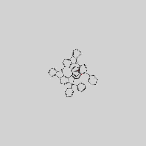 c1ccc(-c2ccc(-n3c4ccccc4c4ccc(-n5c6ccccc6c6ccc([Si](c7ccccc7)(c7ccccc7)c7ccccc7)c(-c7ccccc7)c65)cc43)cc2)cc1